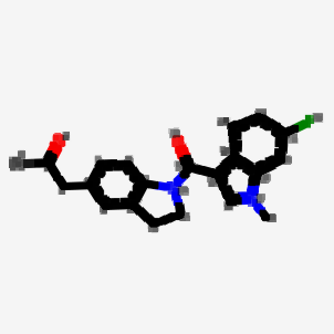 CC(C)C(=O)Cc1ccc2c(c1)CCN2C(=O)c1cn(C)c2cc(F)ccc12